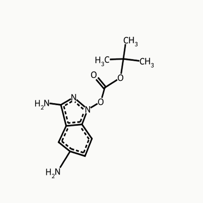 CC(C)(C)OC(=O)On1nc(N)c2cc(N)ccc21